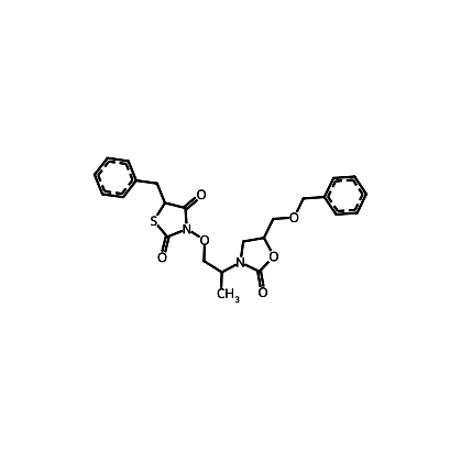 CC(CON1C(=O)SC(Cc2ccccc2)C1=O)N1CC(COCc2ccccc2)OC1=O